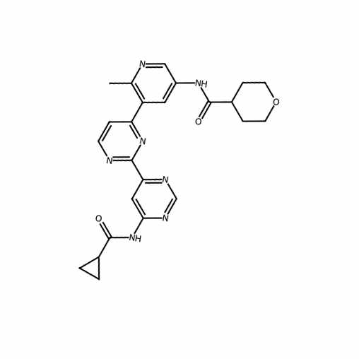 Cc1ncc(NC(=O)C2CCOCC2)cc1-c1ccnc(-c2cc(NC(=O)C3CC3)ncn2)n1